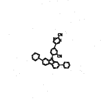 N#Cc1ncc(-c2ccc(-n3c4cc(-c5ccccc5)ccc4c4ccc(-c5ccccc5)cc43)c(C#N)c2)cn1